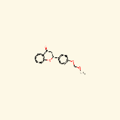 COCOc1ccc(C2CC(=O)c3ccccc3O2)cc1